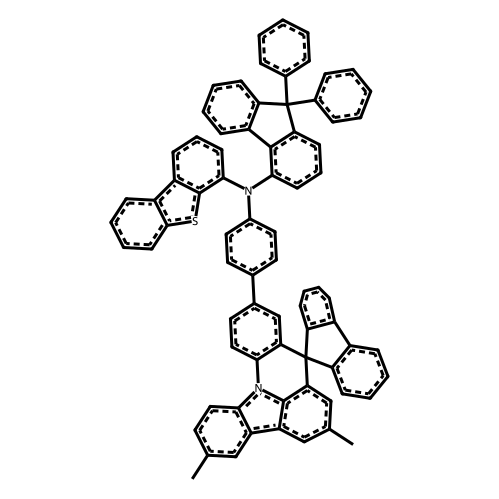 Cc1ccc2c(c1)c1cc(C)cc3c1n2-c1ccc(-c2ccc(N(c4cccc5c4-c4ccccc4C5(c4ccccc4)c4ccccc4)c4cccc5c4sc4ccccc45)cc2)cc1C31c2ccccc2-c2ccccc21